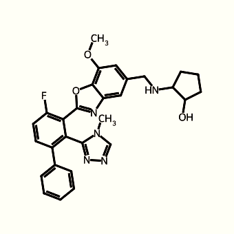 COc1cc(CNC2CCCC2O)cc2nc(-c3c(F)ccc(-c4ccccc4)c3-c3nncn3C)oc12